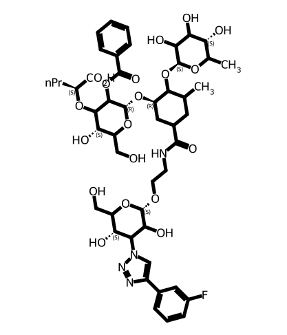 CCC[C@H](OC1C(OC(=O)c2ccccc2)[C@H](O[C@@H]2CC(C(=O)NCCO[C@H]3OC(CO)[C@@H](O)C(n4cc(-c5cccc(F)c5)nn4)C3O)CC(C)C2O[C@@H]2OC(C)[C@@H](O)C(O)C2O)OC(CO)[C@@H]1O)C(=O)O